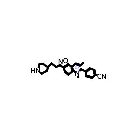 C/C=C/c1c(N(C)Cc2ccc(C#N)cc2)ccc2c(CCC3CCNCC3)noc12